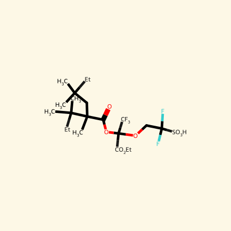 CCOC(=O)C(OCC(F)(F)S(=O)(=O)O)(OC(=O)C(C)(CC(C)(C)CC)C(C)(C)CC)C(F)(F)F